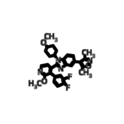 COc1nccc(-c2nc3cc(-c4c(C)noc4C)ccc3n2C2CCC(OC)CC2)c1-c1ccc(F)c(F)c1